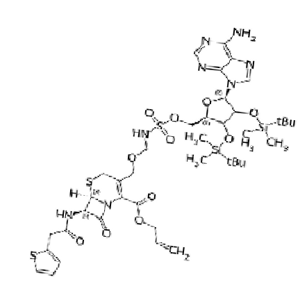 C=CCOC(=O)C1=C(COCNS(=O)(=O)OC[C@H]2O[C@@H](n3cnc4c(N)ncnc43)C(O[Si](C)(C)C(C)(C)C)C2O[Si](C)(C)C(C)(C)C)CS[C@@H]2[C@H](NC(=O)Cc3cccs3)C(=O)N12